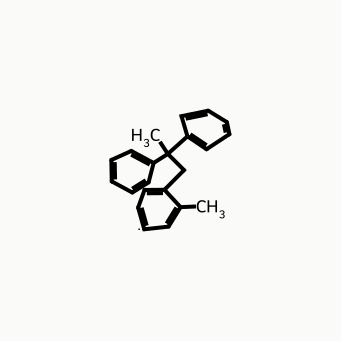 Cc1c[c]ccc1CC(C)(c1ccccc1)c1ccccc1